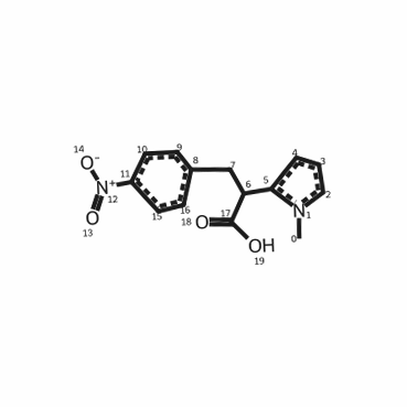 Cn1cccc1C(Cc1ccc([N+](=O)[O-])cc1)C(=O)O